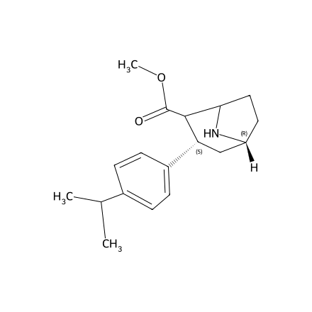 COC(=O)C1C2CC[C@H](C[C@@H]1c1ccc(C(C)C)cc1)N2